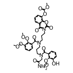 COOc1cccc(C(=O)N(CCCN(CC(N)=O)C(=O)c2cccc(O)c2OOC)CCCn2c(=O)oc3c(OC(=O)OC)cccc3c2=O)c1OOC